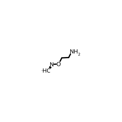 [CH]=NOCCN